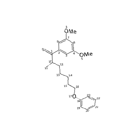 C=C(c1cc(OC)cc(OC)c1)C(C)CCCCCOc1ccccc1